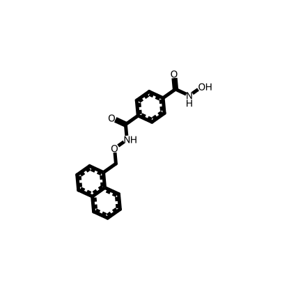 O=C(NO)c1ccc(C(=O)NOCc2cccc3ccccc23)cc1